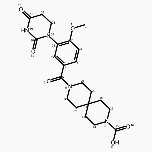 COc1ccc(C(=O)N2CCC3([CH]CN(C(=O)O)CC3)CC2)cc1N1CCC(=O)NC1=O